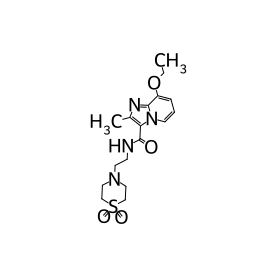 CCOc1cccn2c(C(=O)NCCN3CCS(=O)(=O)CC3)c(C)nc12